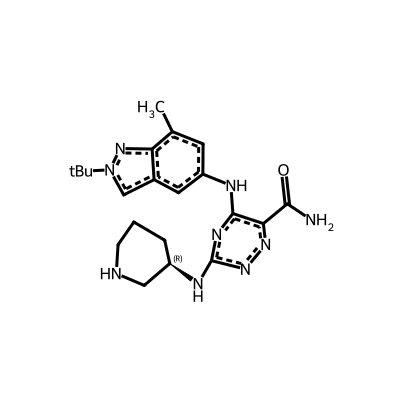 Cc1cc(Nc2nc(N[C@@H]3CCCNC3)nnc2C(N)=O)cc2cn(C(C)(C)C)nc12